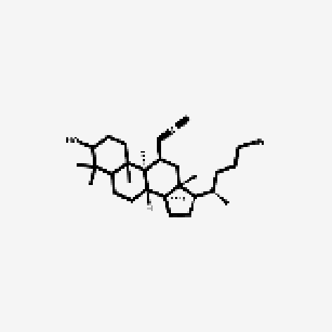 C=C=CC1C[C@]2(C)[C@@H]([C@H](C)CCCC(C)C)CC[C@@]2(C)[C@@H]2CCC3C(C)(C)C(O)CC[C@]3(C)[C@@H]12